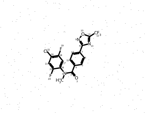 CN(C(=O)c1ccc(-c2noc(C(F)(F)F)n2)cc1)c1cc(F)c(Cl)cc1F